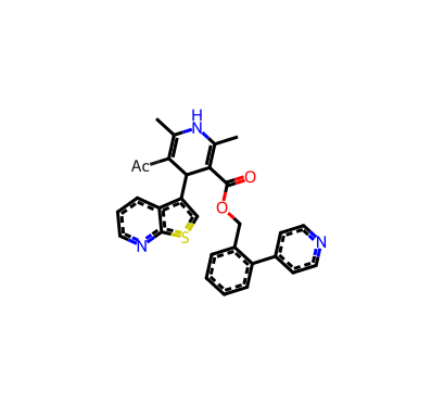 CC(=O)C1=C(C)NC(C)=C(C(=O)OCc2ccccc2-c2ccncc2)C1c1csc2ncccc12